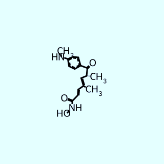 CNc1ccc(C(=O)[C@H](C)/C=C(C)/C=C/C(=O)NO)cc1